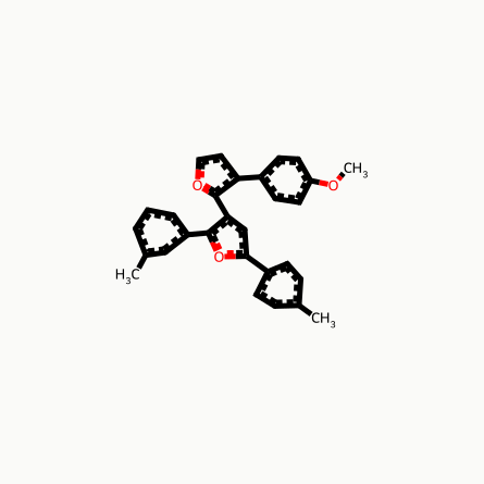 COc1ccc(-c2ccoc2-c2cc(-c3ccc(C)cc3)oc2-c2cccc(C)c2)cc1